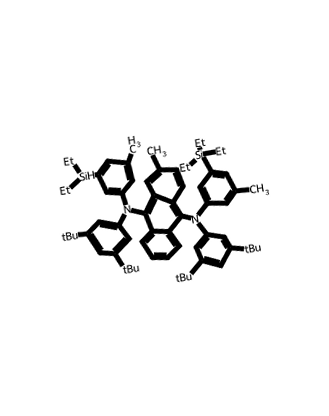 CC[SiH](CC)c1cc(C)cc(N(c2cc(C(C)(C)C)cc(C(C)(C)C)c2)c2c3ccccc3c(N(c3cc(C(C)(C)C)cc(C(C)(C)C)c3)c3cc(C)cc([Si](CC)(CC)CC)c3)c3ccc(C)cc23)c1